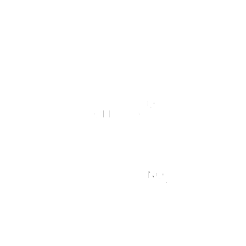 O=C(Cc1cccc2cccc(O)c12)c1ccc([N+](=O)[O-])cc1